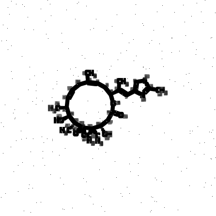 C/C1=C/C[C@@H](/C(C)=C/c2csc(C)n2)OC(=O)C[C@H](O)C(C)(C)S(=O)(=O)[C@H](C)[C@@H](O)[C@@H](C)/C=C\C1